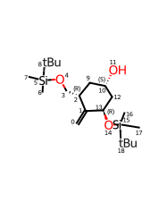 C=C1[C@H](CO[Si](C)(C)C(C)(C)C)C[C@H](O)C[C@H]1O[Si](C)(C)C(C)(C)C